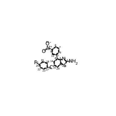 Nc1nc2c(-c3cccc([N+](=O)[O-])c3)cc(Cc3ccc(F)cc3)cc2s1